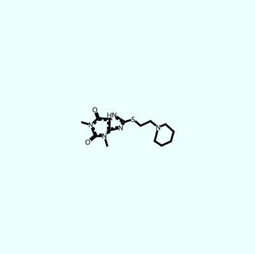 Cn1c(=O)c2[nH]c(SCCN3CCCCC3)nc2n(C)c1=O